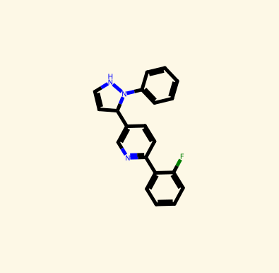 Fc1ccccc1-c1ccc(C2C=CNN2c2ccccc2)cn1